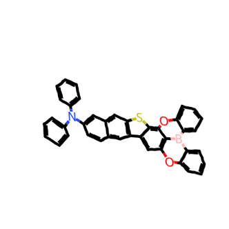 c1ccc(N(c2ccccc2)c2ccc3cc4c(cc3c2)sc2c3c5c(cc24)Oc2ccccc2B5c2ccccc2O3)cc1